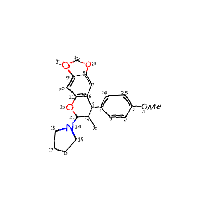 COc1ccc(C2c3cc4c(cc3OC(N3CCCC3)C2C)OCO4)cc1